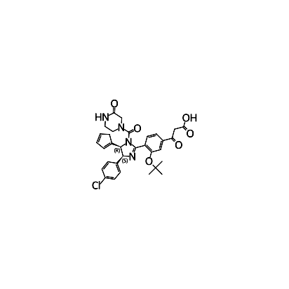 CC(C)(C)Oc1cc(C(=O)CC(=O)O)ccc1C1=N[C@@H](c2ccc(Cl)cc2)[C@@H](C2=CC=CC2)N1C(=O)N1CCNC(=O)C1